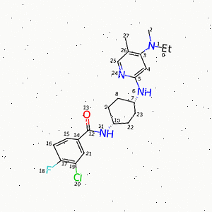 CCN(C)c1cc(N[C@H]2CC[C@@H](NC(=O)c3ccc(F)c(Cl)c3)CC2)ncc1C